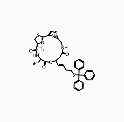 CC(C)C1NC(=O)[C@]2(C)CSC(=N2)c2csc(n2)CNC(=O)CC(/C=C/CCSC(c2ccccc2)(c2ccccc2)c2ccccc2)OC1=O